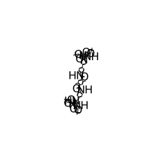 Cc1cc(C(=O)Nc2ccc(C3=CCN(/C(=N\C(=O)OC(C)(C)C)NC(=O)OC(C)(C)C)CC3)cc2)c(C)cc1C(=O)Nc1ccc(CN/C(=N\C(=O)OC(C)(C)C)NC(=O)OC(C)(C)C)cc1